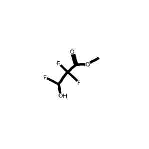 COC(=O)C(F)(F)C(O)F